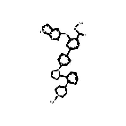 CN1CC=C(c2ccccc2C2CCCN2c2ccc(-c3ccc(C(=O)OC(C)(C)C)c(Oc4cnc5[nH]ccc5c4)c3)cc2)CC1